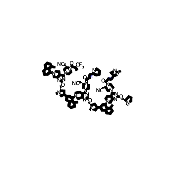 C=C(C(=O)N1CCN(c2nc(OC[C@@H]3CC(c4cc(N5CCc6c(nc(OC[C@@H]7CC(c8cc(N9CCc%10c(nc(OC[C@@H]%11CCCN%11C)nc%10N%10CCN(C(=O)/C=C/c%11cnn(C)c%11)[C@@H](CC#N)C%10)C9)c9c(C)cccc9c8)CN7C)nc6N6CCN(C(=O)/C=C/c7ccccn7)[C@@H](CC#N)C6)C5)c5c(C)cccc5c4)CN3C)nc3c2CCN(c2cccc4cccc(C)c24)C3)C[C@@H]1CC#N)C(F)(F)F